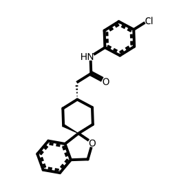 O=C(C[C@H]1CC[C@@]2(CC1)OCc1ccccc12)Nc1ccc(Cl)cc1